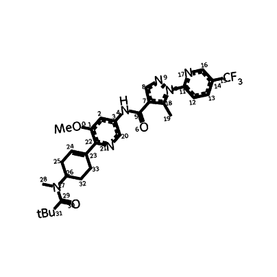 COc1cc(NC(=O)c2cnn(-c3ccc(C(F)(F)F)cn3)c2C)cnc1C1=CCC(N(C)C(=O)C(C)(C)C)CC1